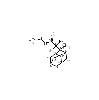 CCOC(=O)C(F)(F)C1(C)C2CC3CC(C2)CC1C3